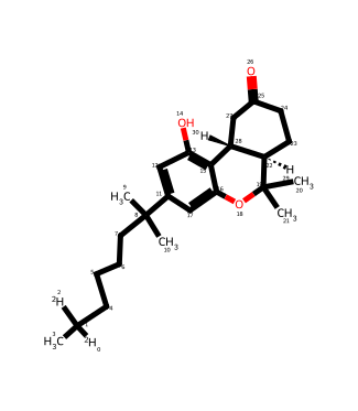 [2H]C([2H])(C)CCCCC(C)(C)c1cc(O)c2c(c1)OC(C)(C)[C@@H]1CCC(=O)C[C@@H]21